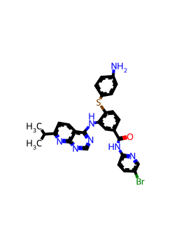 CC(C)c1ccc2c(Nc3cc(C(=O)Nc4ccc(Br)cn4)ccc3Sc3ccc(N)cc3)ncnc2n1